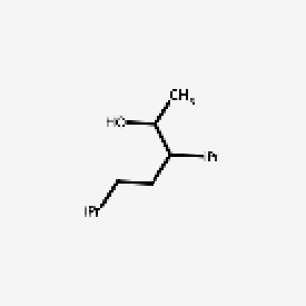 CC(C)CCC(C(C)C)C(C)O